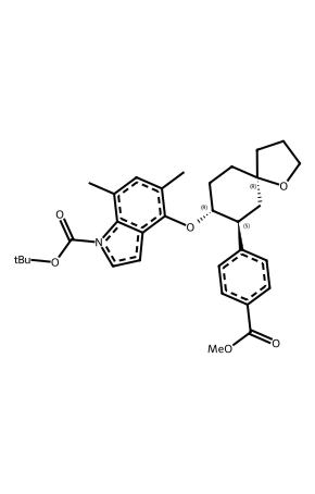 COC(=O)c1ccc([C@@H]2C[C@@]3(CCCO3)CC[C@H]2Oc2c(C)cc(C)c3c2ccn3C(=O)OC(C)(C)C)cc1